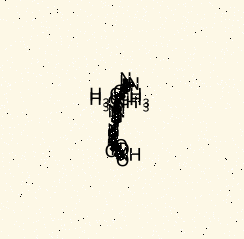 CC1(C)[C@H](NC(=O)c2cnc(N3CCC(CCN4CCN(c5ccc6c(c5)C(=O)N(C5CCC(=O)NC5=O)C6=O)CC4)CC3)nc2)C(C)(C)[C@H]1Oc1ccc(C#N)c(C#N)c1